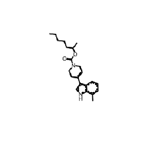 CCCCCC(C)OC(=O)N1CC=C(c2c[nH]c3c(C)cccc23)CC1